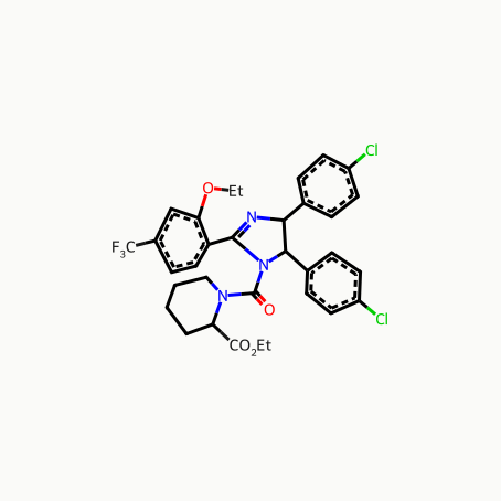 CCOC(=O)C1CCCCN1C(=O)N1C(c2ccc(C(F)(F)F)cc2OCC)=NC(c2ccc(Cl)cc2)C1c1ccc(Cl)cc1